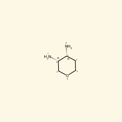 N[C@@H]1CCOC[C@@H]1N